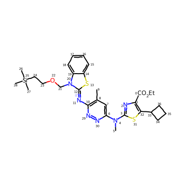 CCOC(=O)c1nc(N(C)c2cc(C)c(/N=c3\sc4ccccc4n3COCC[Si](C)(C)C)nn2)sc1C1CCC1